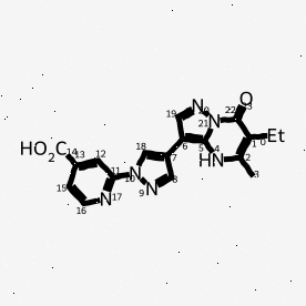 CCc1c(C)[nH]c2c(-c3cnn(-c4cc(C(=O)O)ccn4)c3)cnn2c1=O